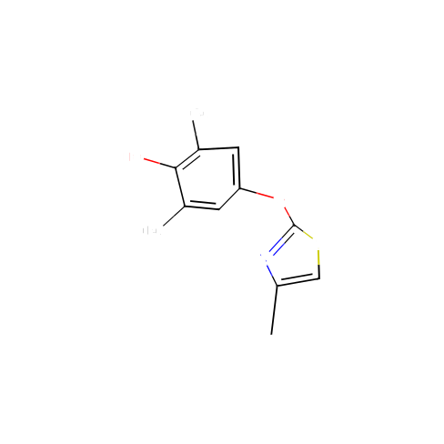 Cc1csc(Oc2cc(C(C)(C)C)c(O)c(C(C)(C)C)c2)n1